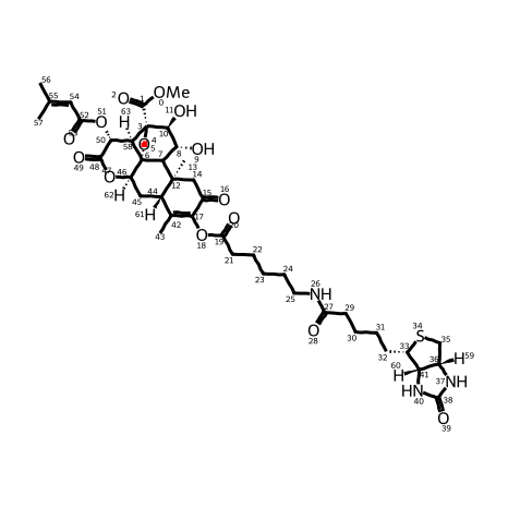 COC(=O)[C@@]12OC[C@]34C([C@@H](O)[C@@H]1O)[C@@]1(C)CC(=O)C(OC(=O)CCCCCNC(=O)CCCC[C@@H]5SC[C@@H]6NC(=O)N[C@@H]65)=C(C)[C@@H]1C[C@H]3OC(=O)[C@H](OC(=O)C=C(C)C)[C@@H]24